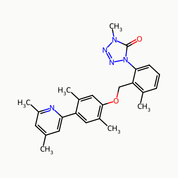 Cc1cc(C)nc(-c2cc(C)c(OCc3c(C)cccc3-n3nnn(C)c3=O)cc2C)c1